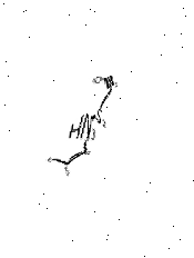 C#CSN/C=C\C